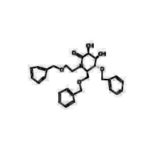 O=C1[C@@H](O)[C@@H](O)[C@H](OCc2ccccc2)[C@@H](COCc2ccccc2)N1CCOCc1ccccc1